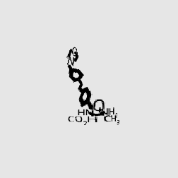 C[C@@H](N)[C@H](NC(=O)c1ccc(C=Cc2ccc(CN3CCOCC3)cc2)cc1)C(=O)O